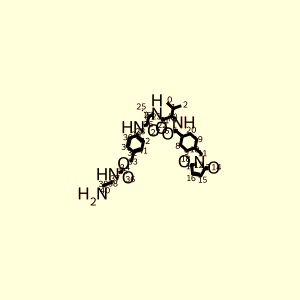 CC(C)[C@H](NC(=O)C1CCC(CN2C(=O)C=CC2=O)CC1)C(=O)N[C@@H](C)C(=O)Nc1ccc(COC(=O)NCCN)cc1